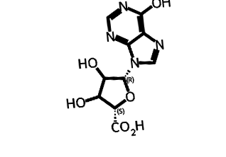 O=C(O)[C@H]1O[C@@H](n2cnc3c(O)ncnc32)C(O)C1O